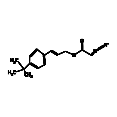 CC(C)(C)c1ccc(C=CCOC(=O)C=[N+]=[N-])cc1